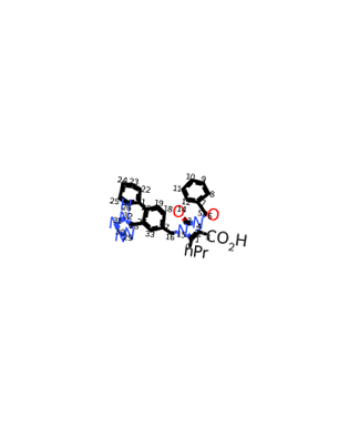 CCCc1c(C(=O)O)n(C(=O)c2ccccc2)c(=O)n1Cc1ccc(-c2ccccc2)c(-c2nnn[nH]2)c1